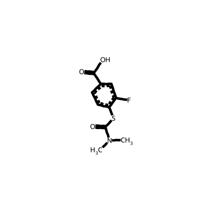 CN(C)C(=O)Sc1ccc(C(=O)O)cc1F